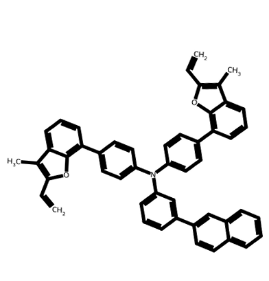 C=Cc1oc2c(-c3ccc(N(c4ccc(-c5cccc6c(C)c(C=C)oc56)cc4)c4cccc(-c5ccc6ccccc6c5)c4)cc3)cccc2c1C